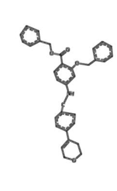 O=C(OCc1ccccc1)c1ccc(NCc2ccc(C3=CCOCC3)cc2)cc1OCc1ccccc1